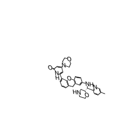 Cc1ccc(C(Nc2ccc3c(c2)Cc2cccc(-c4cc(N5CCOCC5)cc(=O)[nH]4)c2O3)[C@H]2CNCCO2)nc1